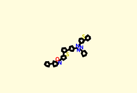 c1ccc(-c2ccc3nc(-c4ccc5sc6c(-c7ccc(-c8nc(-c9ccccc9)nc(-c9ccc%10sc%11ccccc%11c%10c9)n8)cc7)cccc6c5c4)oc3c2)cc1